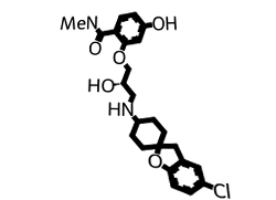 CNC(=O)c1ccc(O)cc1OC[C@@H](O)CNC1CCC2(CC1)Cc1cc(Cl)ccc1O2